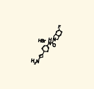 Br.NC12CC(c3ccc(NC(=O)N4Cc5ccc(F)cc5C4)cc3)(C1)C2